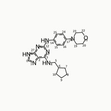 c1nc2c(NCC3CCCC3)nc(Nc3ccc(N4CCOCC4)cc3)nc2[nH]1